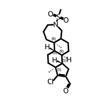 C[C@]12CCCN(S(C)(=O)=O)CC1CC[C@@H]1[C@@H]2CC[C@]2(C)C(Cl)=C(C=O)C[C@@H]12